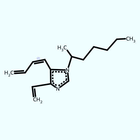 C=C/C=C\c1c(C=C)ncn1C(C)CCCCC